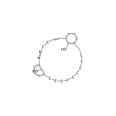 Oc1c2cccc1CCCCCCCCCCc1cccc(c1O)N=NCCC=C2